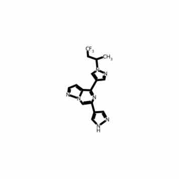 CC(CC(F)(F)F)n1cc(-c2nc(-c3cn[nH]c3)cn3nccc23)cn1